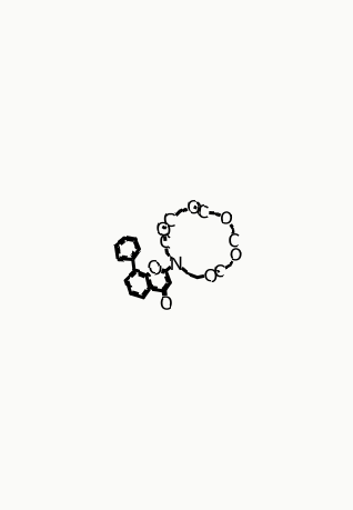 O=c1cc(N2CCOCCOCCOCCOCCOCC2)oc2c(-c3ccccc3)cccc12